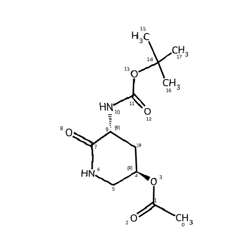 CC(=O)O[C@H]1CNC(=O)[C@H](NC(=O)OC(C)(C)C)C1